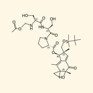 CC(=O)OCN[C@@H](CO)C(=O)N[C@@H](CO)C(=O)N1CCC[C@H]1C(=O)O[C@@H]1C2=C(C)C3(CC3)[C@@](C)(O)C(=O)C2=C[C@@]1(C)CO[Si](C)(C)C(C)(C)C